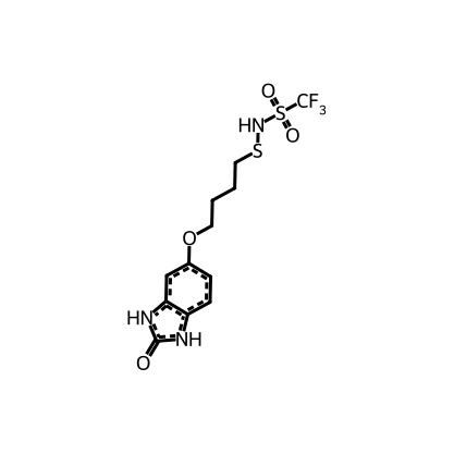 O=c1[nH]c2ccc(OCCCCSNS(=O)(=O)C(F)(F)F)cc2[nH]1